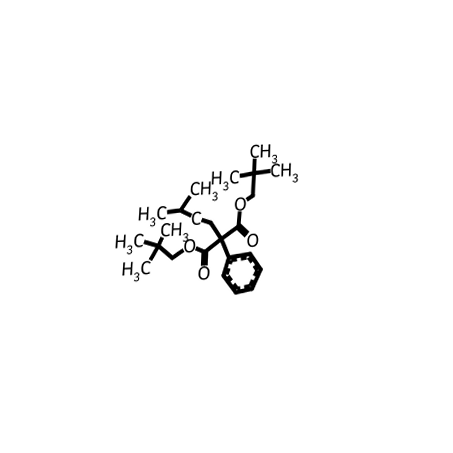 CC(C)CCC(C(=O)OCC(C)(C)C)(C(=O)OCC(C)(C)C)c1ccccc1